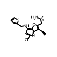 C#Cc1c(C[C@H](C)N)oc2c(NCc3cccs3)cc(Cl)nc12